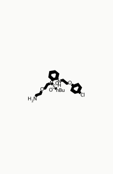 CCCCS(=O)(=O)N(CCOCCN)c1ccccc1NCCOc1ccc(Cl)cc1